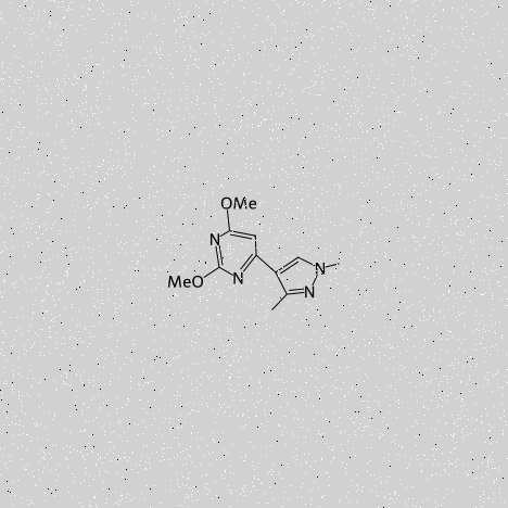 COc1cc(-c2cn(C)nc2C)nc(OC)n1